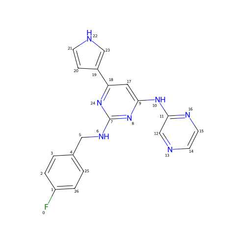 Fc1ccc(CNc2nc(Nc3cnccn3)cc(-c3cc[nH]c3)n2)cc1